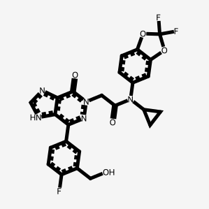 O=C(Cn1nc(-c2ccc(F)c(CO)c2)c2[nH]cnc2c1=O)N(c1ccc2c(c1)OC(F)(F)O2)C1CC1